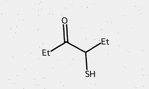 CCC(=O)C(S)CC